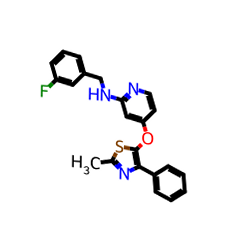 Cc1nc(-c2ccccc2)c(Oc2ccnc(NCc3cccc(F)c3)c2)s1